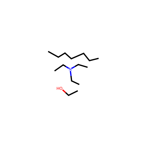 CCCCCCC.CCN(CC)CC.CCO